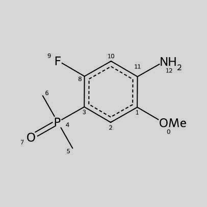 COc1cc(P(C)(C)=O)c(F)cc1N